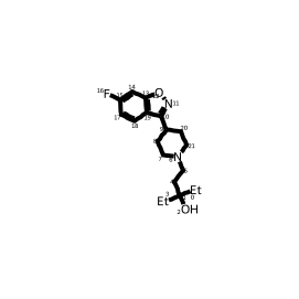 CCC(O)(CC)CCN1CCC(c2noc3cc(F)ccc23)CC1